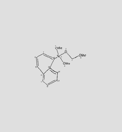 COCO[Si](OC)(OC)c1cccc2ccccc12